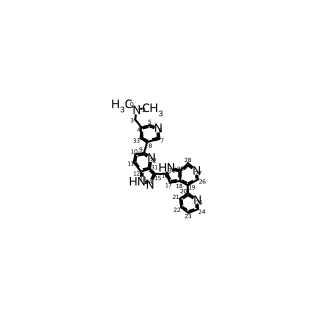 CN(C)Cc1cncc(-c2ccc3[nH]nc(-c4cc5c(-c6ccccn6)cncc5[nH]4)c3n2)c1